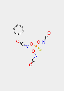 O=C=NOP(=S)(ON=C=O)ON=C=O.c1ccccc1